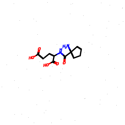 NC1(C(=O)NC(CCC(=O)O)C(=O)O)CCCC1